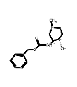 CN1CC[C@H](O)[C@@H](NC(=O)OCc2ccccc2)C1